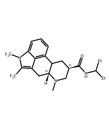 CCC(CC)NC(=O)[C@@H]1CC2c3cccc4c3c(c(C(F)(F)F)n4C(F)(F)F)C[C@H]2N(C)C1